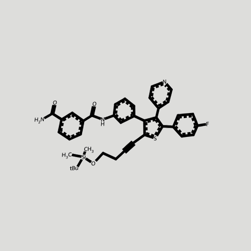 CC(C)(C)[Si](C)(C)OCCC#Cc1sc(-c2ccc(F)cc2)c(-c2ccncc2)c1-c1cccc(NC(=O)c2cccc(C(N)=O)c2)c1